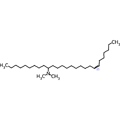 CCCCCC/C=C\CCCCCCCCCC(CCCCCCCCC)N(C)C